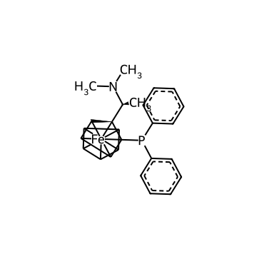 C[C@H](N(C)C)[C@]12[CH]3[CH]4[CH]5[C]1(P(c1ccccc1)c1ccccc1)[Fe]45321678[CH]2[CH]1[CH]6[CH]7[CH]28